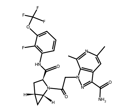 Cc1cc2c(C(N)=O)nn(CC(=O)N3[C@@H]4C[C@@H]4C[C@H]3C(=O)Nc3cccc(OC(F)(F)F)c3F)c2c(C)n1